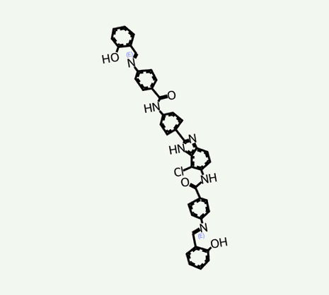 O=C(Nc1ccc(-c2nc3ccc(NC(=O)c4ccc(/N=C/c5ccccc5O)cc4)c(Cl)c3[nH]2)cc1)c1ccc(/N=C/c2ccccc2O)cc1